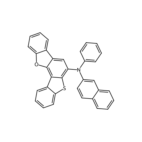 c1ccc(N(c2ccc3ccccc3c2)c2cc3c4ccccc4oc3c3c2sc2ccccc23)cc1